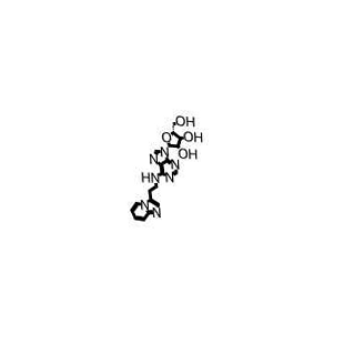 OC[C@H]1O[C@@H](n2cnc3c(NCCc4cnc5ccccn45)ncnc32)C(O)C1O